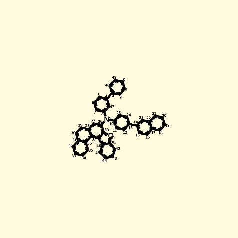 c1ccc(-c2cccc(N(c3ccc(-c4ccc5ccccc5c4)cc3)c3cc4ccc5ccccc5c4c4c3oc3ccccc34)c2)cc1